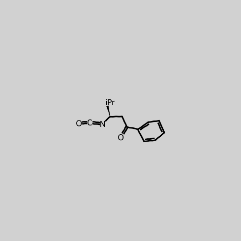 CC(C)[C@@H](CC(=O)c1ccccc1)N=C=O